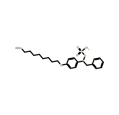 CCCCCCCCCCCCCCCCCCOc1ccc([I+](Cc2ccccc2)OS(=O)(=O)C(F)(F)F)cc1